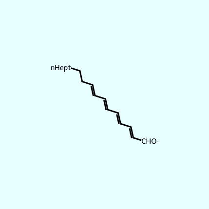 CCCCCCCCCC=CC=CC=CC=C[C]=O